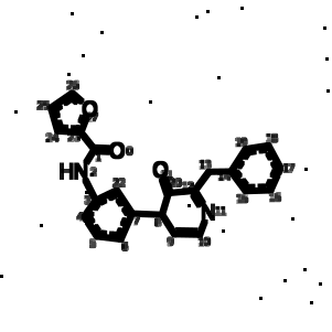 O=C(Nc1cccc(C2C=CN=C(Cc3ccccc3)C2=O)c1)c1ccco1